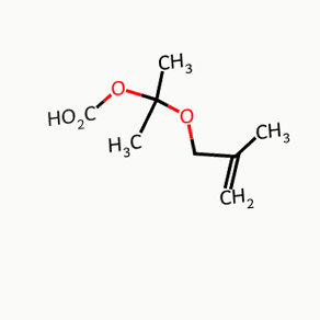 C=C(C)COC(C)(C)OC(=O)O